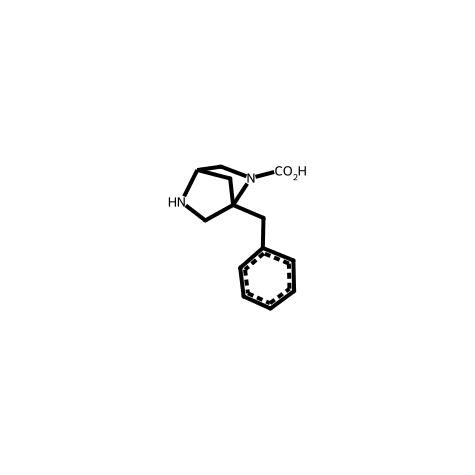 O=C(O)N1CC2CC1(Cc1ccccc1)CN2